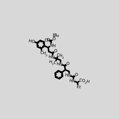 CCC(NC(=O)NCC(C(=O)NCC(C)(C)NC(=O)CC(NC(=O)OC(C)(C)C)c1c(C)cc(O)cc1C)c1ccccc1)C(=O)O